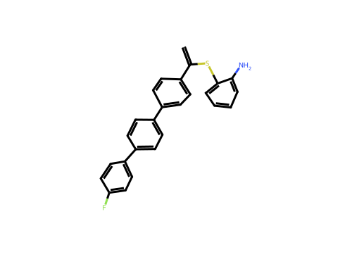 C=C(Sc1ccccc1N)c1ccc(-c2ccc(-c3ccc(F)cc3)cc2)cc1